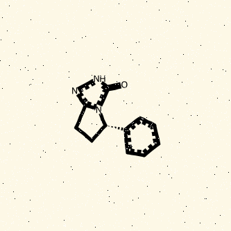 O=c1[nH]nc2n1[C@H](c1ccccc1)CC2